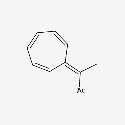 CC(=O)C(C)=C1C=CC=CC=C1